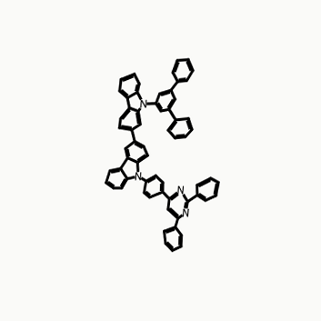 c1ccc(-c2cc(-c3ccccc3)cc(-n3c4ccccc4c4ccc(-c5ccc6c(c5)c5ccccc5n6-c5ccc(-c6cc(-c7ccccc7)nc(-c7ccccc7)n6)cc5)cc43)c2)cc1